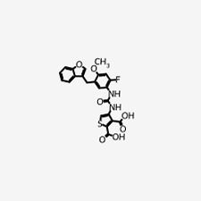 COc1cc(F)c(NC(=O)Nc2csc(C(=O)O)c2C(=O)O)cc1Cc1coc2ccccc12